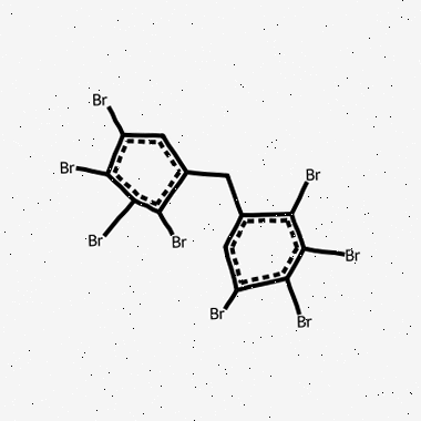 Brc1cc(Cc2cc(Br)c(Br)c(Br)c2Br)c(Br)c(Br)c1Br